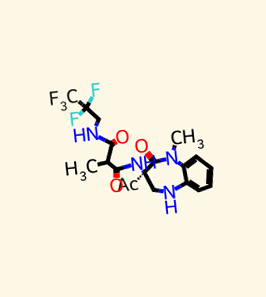 CC(=O)[C@@]1(NC(=O)C(C)C(=O)NCC(F)(F)C(F)(F)F)CNc2ccccc2N(C)C1=O